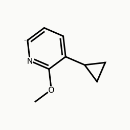 COc1n[c]ccc1C1CC1